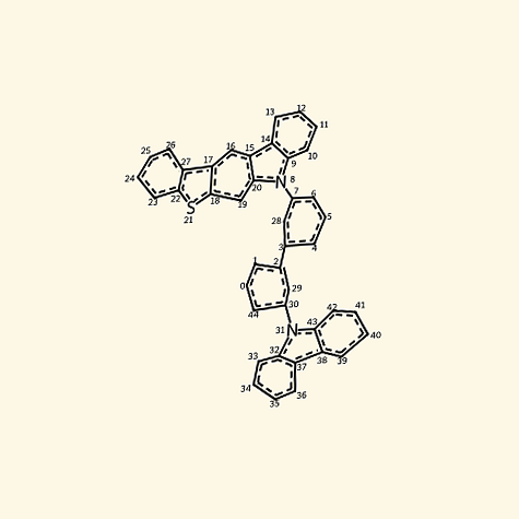 c1cc(-c2cccc(-n3c4ccccc4c4cc5c(cc43)sc3ccccc35)c2)cc(-n2c3ccccc3c3ccccc32)c1